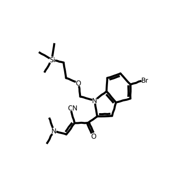 CN(C)/C=C(\C#N)C(=O)c1cc2cc(Br)ccc2n1COCC[Si](C)(C)C